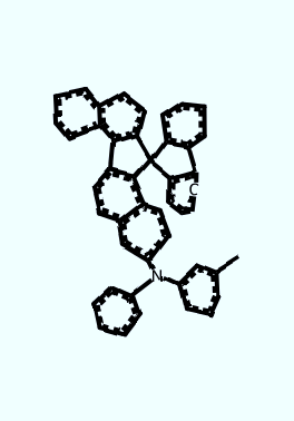 Cc1cccc(N(c2ccccc2)c2ccc3c4c(ccc3c2)-c2c(ccc3ccccc23)C42c3ccccc3-c3ccccc32)c1